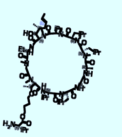 C/C=C/C[C@@H](C)[C@@H](O)[C@H]1C(=O)N[C@@H](CC)C(=O)N(C)CC(=O)N(C)[C@@H]([C@@H](C)OCCCCOC(=O)[C@@H](N)C(C)C)C(=O)N[C@@H](C(C)C)C(=O)N(C)[C@@H](CC(C)C)C(=O)N[C@@H](C)C(=O)N[C@H](C)C(=O)N(C)[C@@H](CC(C)C)C(=O)N(C)[C@H](CC(C)C)C(=O)N(C)C(C(C)C)C(=O)N1C